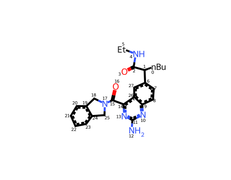 CCCCC(C(=O)NCC)c1ccc2nc(N)nc(C(=O)N3Cc4ccccc4C3)c2c1